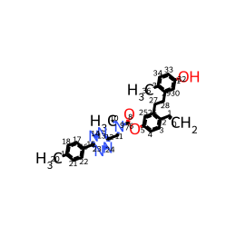 C=Cc1ccc(OC(=O)N(C)Cc2nnc(-c3ccc(C)cc3)nn2)cc1CCc1cc(O)ccc1C